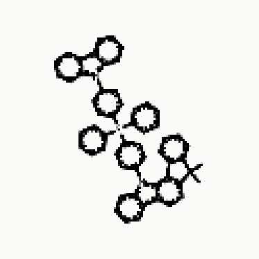 CC1(C)c2ccccc2-c2c1ccc1c3ccccc3n(-c3ccc([Si](c4ccccc4)(c4ccccc4)c4ccc(-n5c6ccccc6c6ccccc65)cc4)cc3)c21